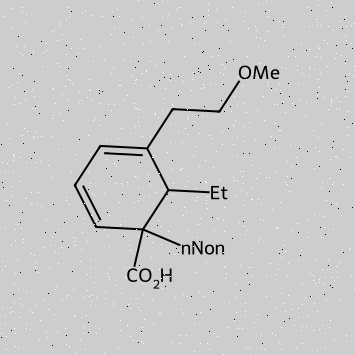 CCCCCCCCCC1(C(=O)O)C=CC=C(CCOC)C1CC